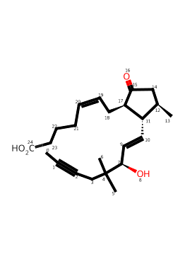 CC#CCC(C)(C)[C@H](O)/C=C/[C@H]1[C@H](C)CC(=O)[C@@H]1C/C=C\CCCC(=O)O